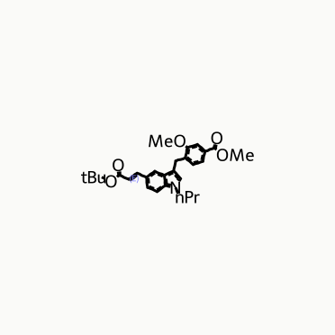 CCCn1cc(Cc2ccc(C(=O)OC)cc2OC)c2cc(/C=C/C(=O)OC(C)(C)C)ccc21